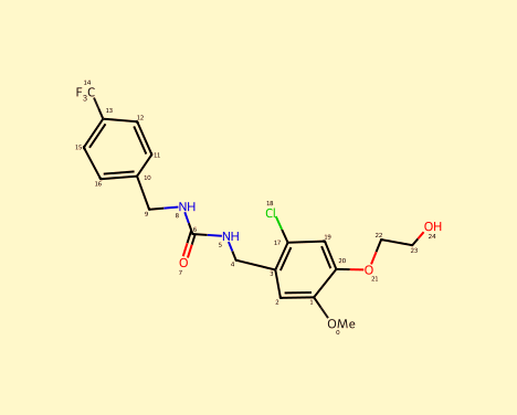 COc1cc(CNC(=O)NCc2ccc(C(F)(F)F)cc2)c(Cl)cc1OCCO